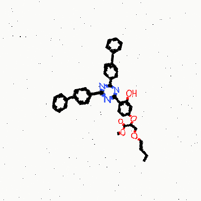 CCCCOCC(Oc1ccc(-c2nc(-c3ccc(-c4ccccc4)cc3)nc(-c3ccc(-c4ccccc4)cc3)n2)c(O)c1)C(=O)OC